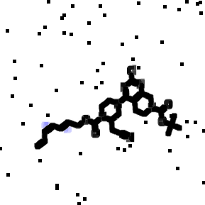 C=C/C=C\C=C\COC(=O)N1CCN(c2nc(Cl)nc3c2CCN(C(=O)OC(C)(C)C)C3)CC1CC#N